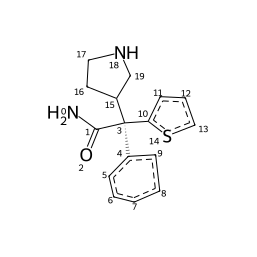 NC(=O)[C@](c1ccccc1)(c1cccs1)C1CCNC1